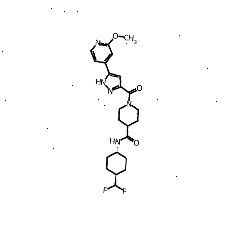 COc1cc(-c2cc(C(=O)N3CCC(C(=O)N[C@H]4CC[C@H](C(F)F)CC4)CC3)n[nH]2)ccn1